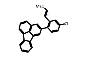 CO/C=C/c1cc(Cl)ccc1-c1cc2c3c(cccc3c1)-c1ccccc1-2